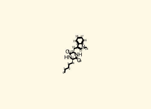 CCCCC[C@H]1NC(=O)[C@@H](Cc2cn(C)c3ccccc23)NC1=O